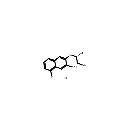 CC[C@H](CN)Oc1cc2cccc(Cl)c2cc1C(=O)O.Cl